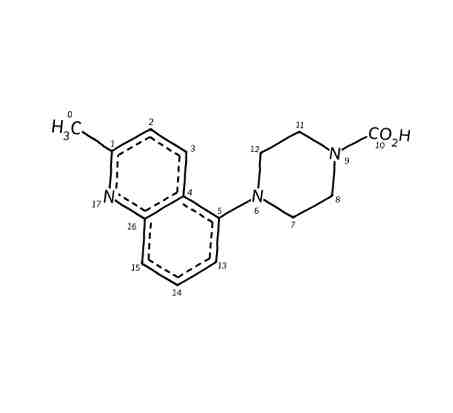 Cc1ccc2c(N3CCN(C(=O)O)CC3)cccc2n1